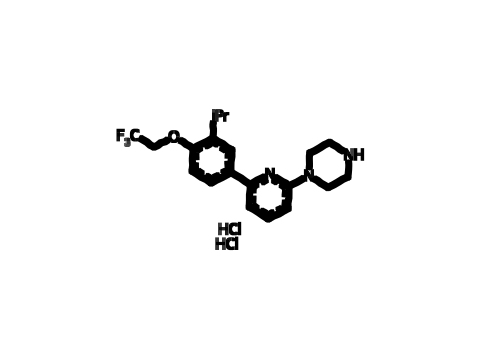 CC(C)c1cc(-c2cccc(N3CCNCC3)n2)ccc1OCC(F)(F)F.Cl.Cl